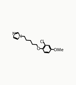 COc1ccc(OCCCCCn2ccnc2)c(Cl)c1